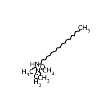 CCCCCCCCCCCCCCCCCC(=O)NC(CC)[N+](CC)(CC)CC